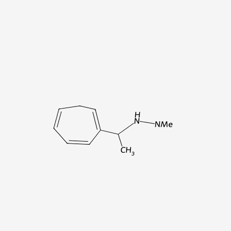 CNNC(C)C1=CCC=CC=C1